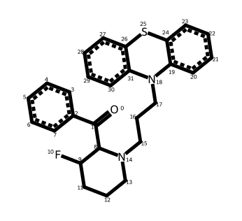 O=C(c1ccccc1)C1C(F)CCCN1CCCN1c2ccccc2Sc2ccccc21